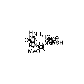 CO[C@@H]1[C@H](C)[C@@H](COP(=O)(O)OP(=O)(O)O)O[C@H]1n1cnc2c(=O)[nH]c(N)nc21